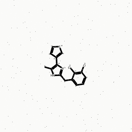 Cc1[nH]c(Cc2cccc(Cl)c2Cl)nc1-c1ccsc1